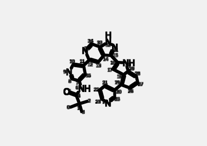 CC(C)(C)C(=O)Nc1cncc(-c2cc3c(-c4cc5c(-c6cccnc6)cccc5[nH]4)n[nH]c3cn2)c1